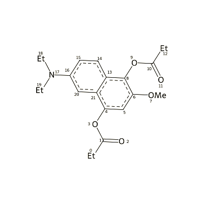 CCC(=O)Oc1cc(OC)c(OC(=O)CC)c2ccc(N(CC)CC)cc12